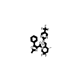 Cc1nc(C(=O)N2CC(F)(F)C[C@@H](C)C2CNc2ncc(C(F)(F)F)cn2)c(-c2ccccc2)o1